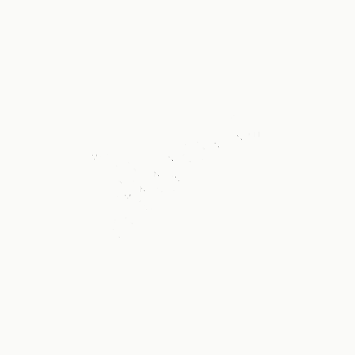 COc1ccc(N(C(=O)Oc2c(F)cccc2F)c2ccnc(Nc3ccc(N4CCN(C)C(C)C4)c(F)c3)n2)c(OC)c1